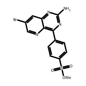 COS(=O)(=O)c1ccc(-c2nc(N)nc3cc(Br)cnc23)cc1